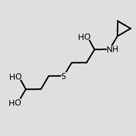 OC(O)CCSCCC(O)NC1CC1